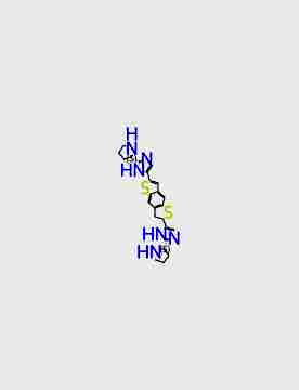 c1nc([C@@H]2CCCN2)[nH]c1-c1cc2cc3c(cc2s1)CC(c1cnc([C@@H]2CCCN2)[nH]1)S3